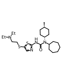 CCN(CC)CCSc1cnc(NC(=O)N(C2CCCCCC2)[C@H]2CC[C@H](C)CC2)s1